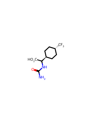 NC(=O)NC(C(=O)O)[C@H]1CC[C@H](C(F)(F)F)CC1